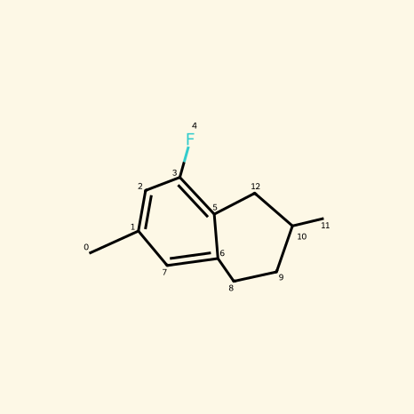 Cc1cc(F)c2c(c1)CCC(C)C2